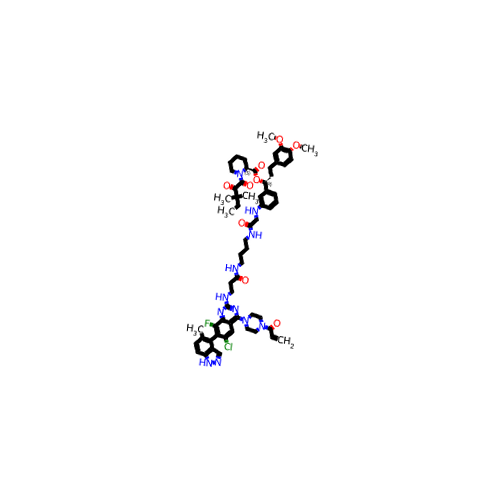 C=CC(=O)N1CCN(c2nc(NCCC(=O)NCCCCNC(=O)CNc3cccc([C@@H](CCc4ccc(OC)c(OC)c4)OC(=O)[C@@H]4CCCCN4C(=O)C(=O)C(C)(C)CC)c3)nc3c(F)c(-c4c(C)ccc5[nH]ncc45)c(Cl)cc23)CC1